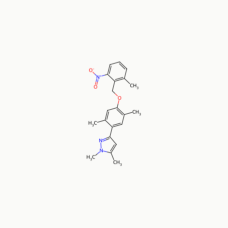 Cc1cc(-c2cc(C)n(C)n2)c(C)cc1OCc1c(C)cccc1[N+](=O)[O-]